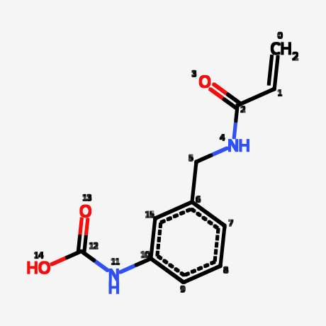 C=CC(=O)NCc1cccc(NC(=O)O)c1